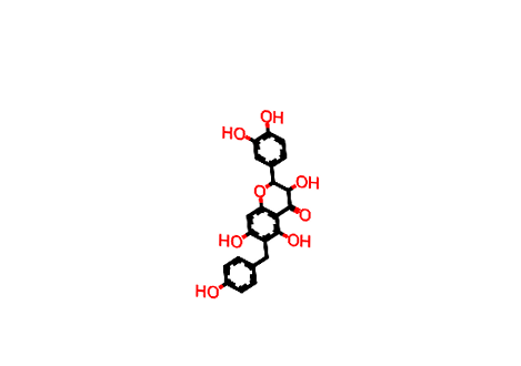 O=C1c2c(cc(O)c(Cc3ccc(O)cc3)c2O)OC(c2ccc(O)c(O)c2)C1O